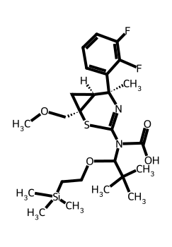 COC[C@]12C[C@H]1[C@@](C)(c1cccc(F)c1F)N=C(N(C(=O)O)C(OCC[Si](C)(C)C)C(C)(C)C)S2